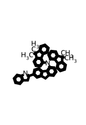 CC1(C)c2ccccc2-c2c(N(c3cccc4c3-c3ccc(C5=Nc6ccccc6C5)cc3C4)c3cccc4c3-c3ccccc3C4(C)C)cccc21